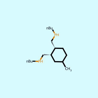 CCCCPC[C@@H]1CCC(C)C[C@@H]1CPCCCC